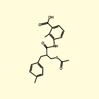 CC(=O)SCC(Cc1ccc(C)cc1)C(=O)Nc1cccc(C(=O)O)c1C